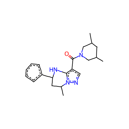 CC1CC(C)CN(C(=O)c2cnn3c2NC(c2ccccc2)CC3C)C1